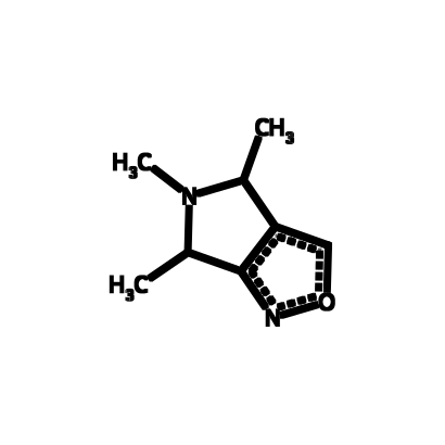 CC1c2conc2C(C)N1C